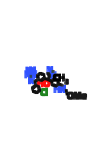 COCCNCc1ccc(C(O)(c2ccc3c(c2)c(-c2cccc(Cl)c2)nc2nnnn23)c2cncn2C)cc1